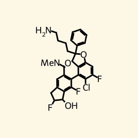 CNC(=O)c1cc2c(c(F)c1-c1c(Cl)c(F)cc3c1CC(CCCCN)(c1ccccc1)O3)C(O)C(F)C2